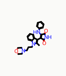 Cc1c(C2=C(Nc3ccccc3)C(=O)NC2=O)c2ccccc2n1CCCN1CCOCC1